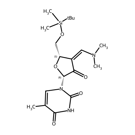 Cc1cn([C@@H]2O[C@H](CO[Si](C)(C)C(C)(C)C)C(=CN(C)C)C2=O)c(=O)[nH]c1=O